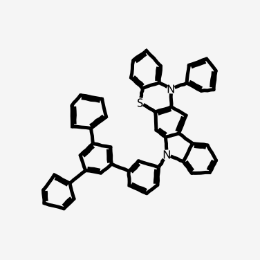 c1ccc(-c2cc(-c3ccccc3)cc(-c3cccc(-n4c5ccccc5c5cc6c(cc54)Sc4ccccc4N6c4ccccc4)c3)c2)cc1